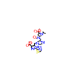 COC(=O)C1=C(CN2CCN(C)C(CN(C=O)C3CC(C(=O)OC)N(C(C)C)C3)C2)NC(c2nccs2)=NC1